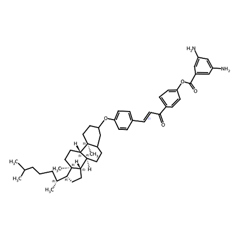 CC(C)CCC[C@@H](C)[C@H]1CC[C@H]2[C@@H]3CCC4CC(Oc5ccc(/C=C/C(=O)c6ccc(OC(=O)c7cc(N)cc(N)c7)cc6)cc5)CC[C@]4(C)[C@H]3CC[C@]12C